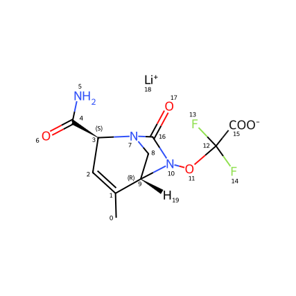 CC1=C[C@@H](C(N)=O)N2C[C@@H]1N(OC(F)(F)C(=O)[O-])C2=O.[Li+]